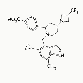 Cc1cc(C2CC2)c(CN2CCC(N3CC(C(F)(F)F)C3)CC2c2ccc(C(=O)O)cc2)c2cc[nH]c12